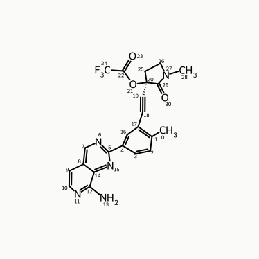 Cc1ccc(-c2ncc3ccnc(N)c3n2)cc1C#C[C@]1(OC(=O)C(F)(F)F)CCN(C)C1=O